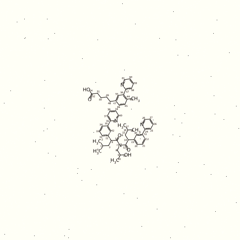 CC(C)CC(C(=O)N(CC(C)O)C(=O)C(CC(C)C)c1cccc(-c2ccccn2)c1)c1cccc(-c2ccccn2)c1.Cc1ccc(CCCCC(=O)O)cc1-c1ccccn1